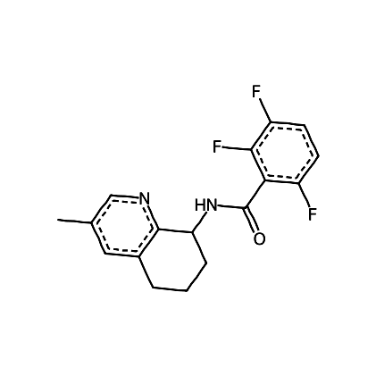 Cc1cnc2c(c1)CCCC2NC(=O)c1c(F)ccc(F)c1F